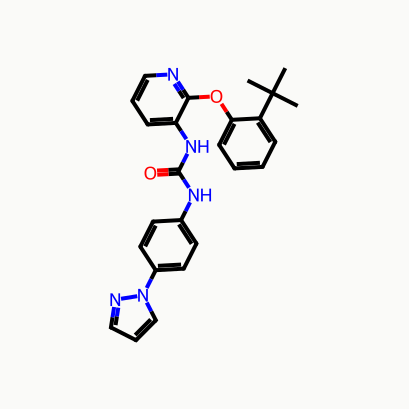 CC(C)(C)c1ccccc1Oc1ncccc1NC(=O)Nc1ccc(-n2cccn2)cc1